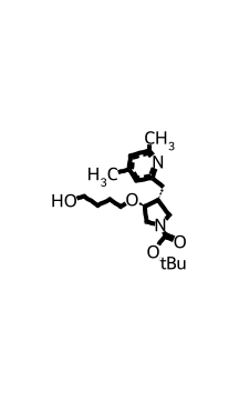 Cc1cc(C)nc(C[C@@H]2CN(C(=O)OC(C)(C)C)C[C@@H]2OCCCCO)c1